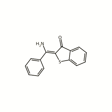 N/C(=C1/Sc2ccccc2C1=O)c1ccccc1